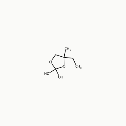 CCC1(C)COC(O)(O)O1